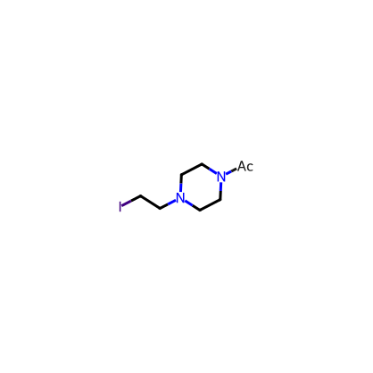 CC(=O)N1CCN(CCI)CC1